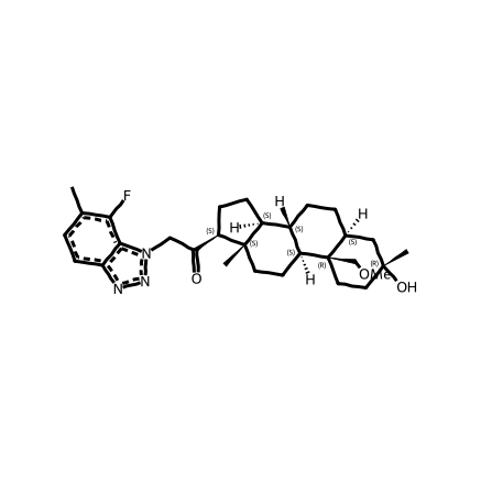 COC[C@]12CC[C@@](C)(O)C[C@@H]1CC[C@H]1[C@@H]3CC[C@H](C(=O)Cn4nnc5ccc(C)c(F)c54)[C@@]3(C)CC[C@@H]12